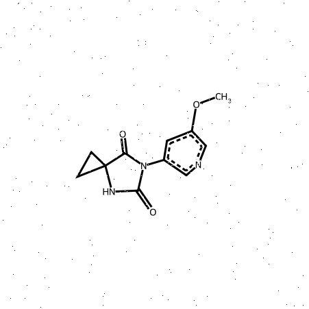 COc1cncc(N2C(=O)NC3(CC3)C2=O)c1